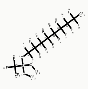 FC(F)(F)O[Si](OC(F)(F)F)(OC(F)(F)C(F)(F)C(F)(F)C(F)(F)C(F)(F)C(F)(F)C(F)(F)C(F)(F)C(F)(F)F)C(F)(F)C(F)(F)F